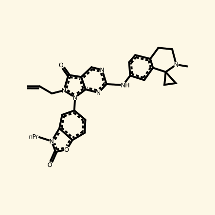 C=CCn1c(=O)c2cnc(Nc3ccc4c(c3)C3(CC3)N(C)CC4)nc2n1-c1ccc2oc(=O)n(CCC)c2c1